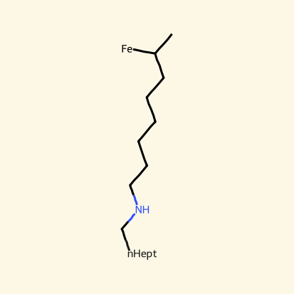 CCCCCCCCNCCCCCC[CH](C)[Fe]